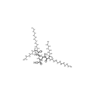 CCCCCCCCCCCCC(C(=O)Nc1cc(NC(=O)C(CCCCCCCCCCCC)C(C)(C)CCCCCCC)cc(C(=O)O)c1)C(C)(C)CCCCCCC